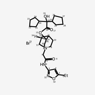 CCc1cc(NC(=O)C[N+]23CCC(CC2)[C@@H](OC(=O)C(O)(C2CCCC2)C2CCCC2)C3)no1.[Br-]